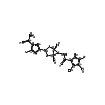 Cc1nc(N2C[C@@H]3C(NC(=O)c4[nH]c(C)c(Cl)c4Cl)[C@@H]3C2)sc1C(N)=O